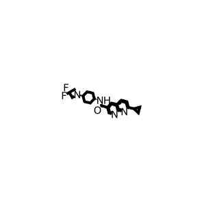 O=C(N[C@H]1CC[C@H](N2CC(F)(F)C2)CC1)c1cnc2nc(C3CC3)ccc2c1